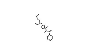 C=C/C(=C\C=C/C)CO/C(C)=C(\C)C(=C)c1ccccc1